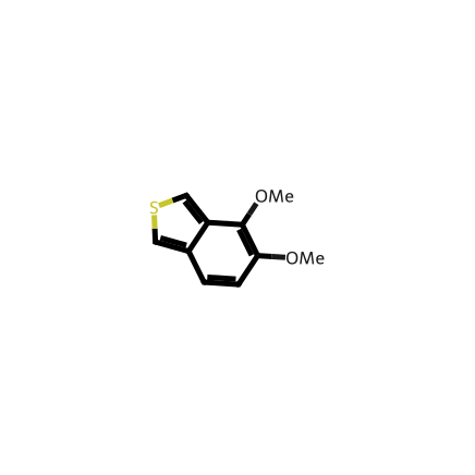 COc1ccc2cscc2c1OC